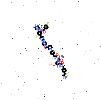 Cc1ncsc1-c1ccc([C@H](C)NC(=O)[C@@H]2C[C@@H](O)CN2C(=O)[C@@H](NC(=O)Cc2ccc(N3CCCC(C(=O)N4CCN(c5ncc(-c6cc(NC(=O)c7ccc(F)cc7C(F)(F)F)c(N7C[C@@H](C)N(C)[C@@H](C)C7)cc6F)cn5)CC4)C3)cc2)C(C)(C)C)cc1